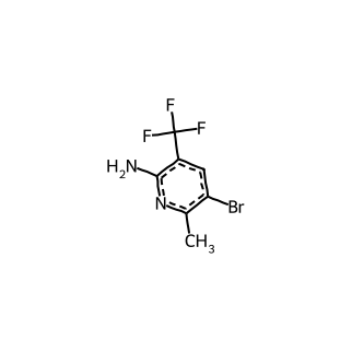 Cc1nc(N)c(C(F)(F)F)cc1Br